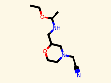 CCOC(C)NCC1CN(CC#N)CCO1